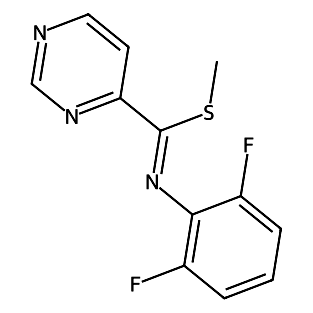 CSC(=Nc1c(F)cccc1F)c1ccncn1